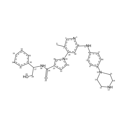 Cc1cnc(Nc2ccc(N3CCNCC3)cc2)cc1-n1ccc(C(=O)NC(CO)c2ccccc2)c1